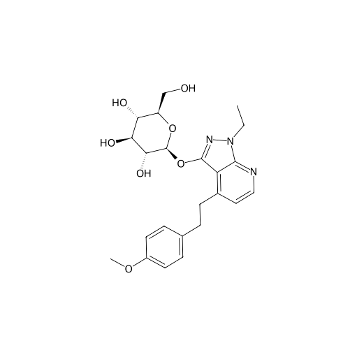 CCn1nc(O[C@@H]2O[C@H](CO)[C@@H](O)[C@H](O)[C@H]2O)c2c(CCc3ccc(OC)cc3)ccnc21